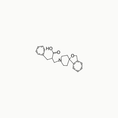 O=C(O)C(Cc1ccccc1)CN1CCC2(CC1)OCc1ccccc12